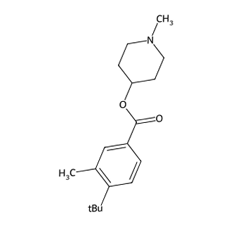 Cc1cc(C(=O)OC2CCN(C)CC2)ccc1C(C)(C)C